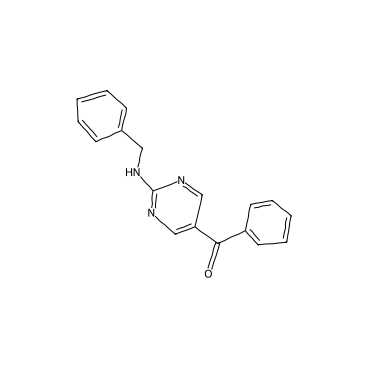 O=C(c1ccccc1)c1cnc(NCc2ccccc2)nc1